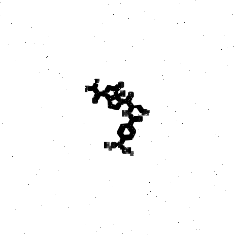 CC(C)C[C@H](NC(=O)c1ccc(N(C)C)cc1)C(=O)N1CCC2[C@H]1C(=O)CN2C(=O)C(F)F